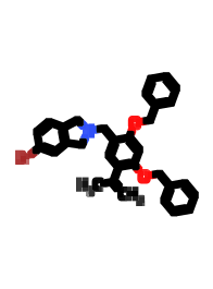 C=C(C)c1cc(CN2Cc3ccc(Br)cc3C2)c(OCc2ccccc2)cc1OCc1ccccc1